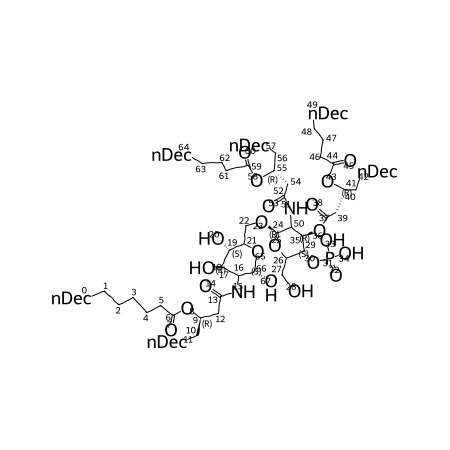 CCCCCCCCCCCCCCCC(=O)O[C@H](CCCCCCCCCCC)CC(=O)NC1[C@@H](O)[C@H](O)C(CO[C@@H]2OC(CO)[C@@H](OP(=O)(O)O)[C@H](OC(=O)C[C@@H](CCCCCCCCCCC)OC(=O)CCCCCCCCCCCCC)C2NC(=O)C[C@@H](CCCCCCCCCCC)OC(=O)CCCCCCCCCCCCC)O[C@@H]1O